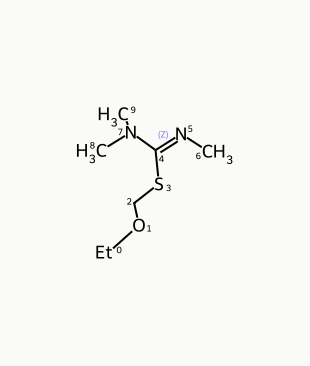 CCOCS/C(=N\C)N(C)C